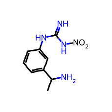 CC(N)c1cccc(NC(=N)N[N+](=O)[O-])c1